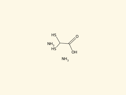 N.N.O=C(O)C(S)S